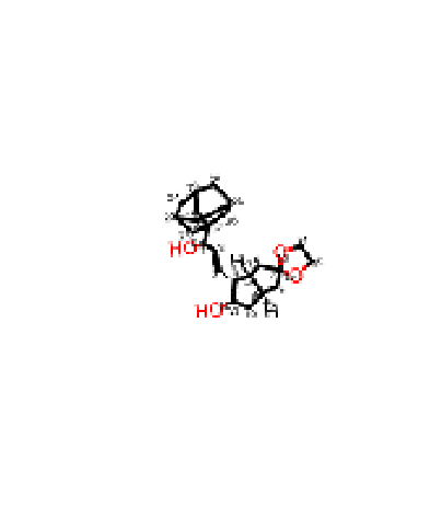 OC(C=C[C@@H]1[C@@H]2CC3(C[C@@H]2C[C@H]1O)OCCO3)C12CC3CC(CC(C3)C1)C2